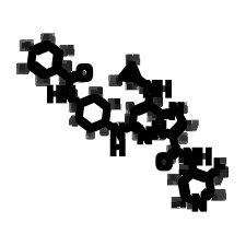 O=C(N[C@H]1CC[C@H](Nc2cc(NC3CC3)c3ncc(C(=O)Nc4ccncc4F)n3n2)CC1)c1ccccc1